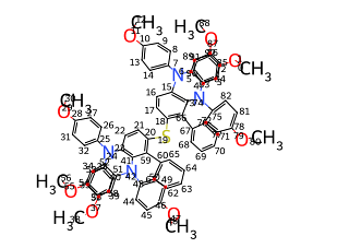 COc1ccc(N(c2ccc(OC)cc2)c2ccc(Sc3ccc(N(c4ccc(OC)cc4)c4ccc(OC)cc4)c(N(c4ccc(OC)cc4)c4ccc(OC)cc4)c3-c3ccccc3)c(-c3ccccc3)c2N(c2ccc(OC)cc2)c2ccc(OC)cc2)cc1